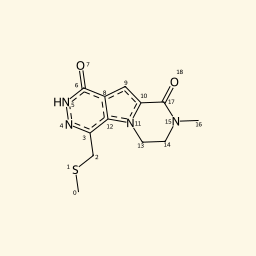 CSCc1n[nH]c(=O)c2cc3n(c12)CCN(C)C3=O